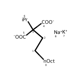 CCCCCCCCCCC(C(=O)[O-])(C(=O)[O-])C(C)C.[K+].[Na+]